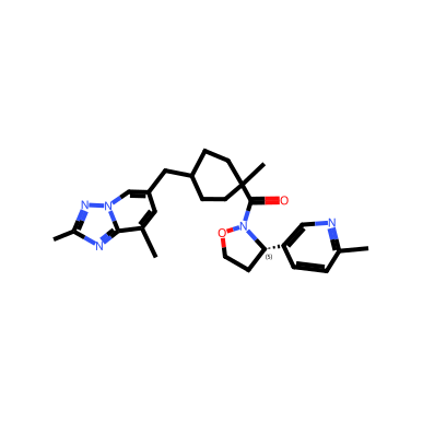 Cc1ccc([C@@H]2CCON2C(=O)C2(C)CCC(Cc3cc(C)c4nc(C)nn4c3)CC2)cn1